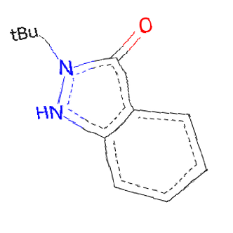 CC(C)(C)n1[nH]c2ccccc2c1=O